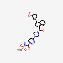 CCOc1cccc(-c2ccc(C(=O)N3CCN(c4ccc(C(=O)NS(=O)(=O)C(C)(C)C)nn4)CC3)c3ccccc23)c1